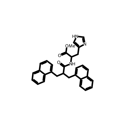 COC(=O)C(Cc1c[nH]cn1)NC(=O)C(Cc1cccc2ccccc12)Cc1cccc2ccccc12